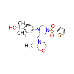 C[C@H]1COCCN1CC1CN(S(=O)(=O)c2cccs2)CCN1c1ccc(C(C)(C)O)cc1